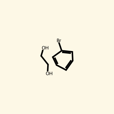 Brc1ccccc1.OCCO